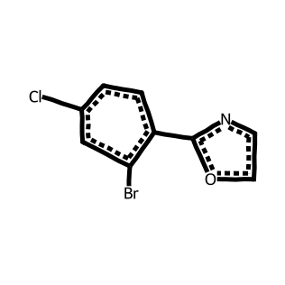 Clc1ccc(-c2ncco2)c(Br)c1